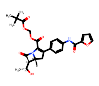 C[C@@H](O)[C@H]1C(=O)N2C(C(=O)OCOC(=O)C(C)(C)C)=C(c3ccc(NC(=O)c4ccco4)cc3)C[C@H]12